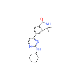 CC1(C)NC(=O)c2ccc(-c3ccnc(NC4CCCCC4)n3)cc21